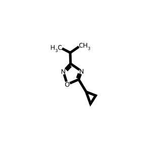 CC(C)c1noc(C2CC2)n1